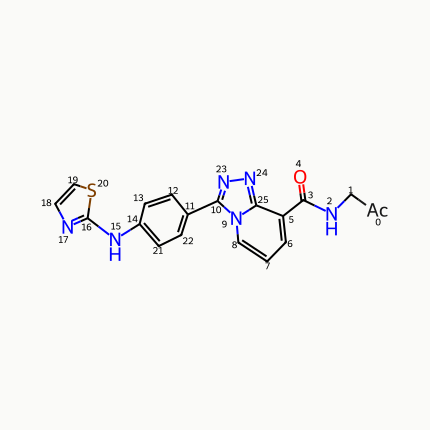 CC(=O)CNC(=O)c1cccn2c(-c3ccc(Nc4nccs4)cc3)nnc12